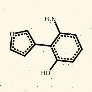 Nc1cccc(O)c1-c1ccoc1